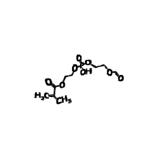 C=C(C)C(=O)OCCOP(=O)(O)OCCOC=O